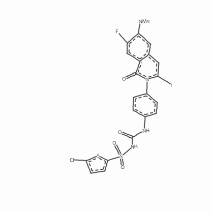 CNc1cc2cc(I)n(-c3ccc(NC(=O)NS(=O)(=O)c4ccc(Cl)s4)cc3)c(=O)c2cc1F